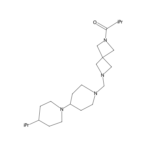 CC(C)C(=O)N1CC2(CN(CN3CCC(N4CCC(C(C)C)CC4)CC3)C2)C1